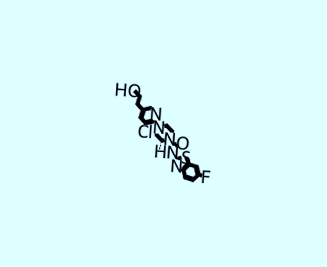 C[C@@H]1CN(c2ncc(CCO)cc2Cl)CCN1C(=O)Nc1nc2ccc(F)cc2s1